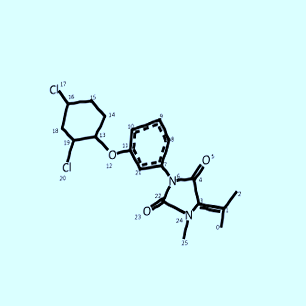 CC(C)=C1C(=O)N(c2cccc(OC3CCC(Cl)CC3Cl)c2)C(=O)N1C